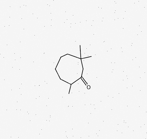 CC1CCCCC(C)(C)CC1=O